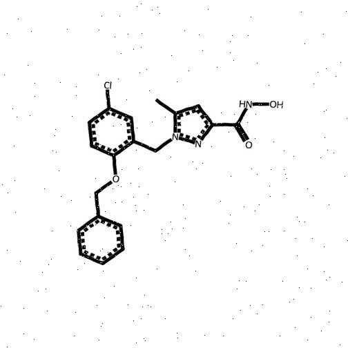 Cc1cc(C(=O)NO)nn1Cc1cc(Cl)ccc1OCc1ccccc1